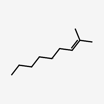 CCCC[CH]CC=C(C)C